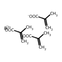 C=C(C)C(=O)[O-].C=C(C)C(=O)[O-].C=C(C)C(=O)[O-].[Bi+3]